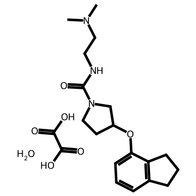 CN(C)CCNC(=O)N1CCC(Oc2cccc3c2CCC3)C1.O.O=C(O)C(=O)O